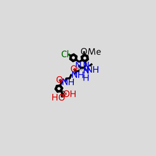 COc1ccc2c(c1)C(c1ccc(Cl)cc1)=N[C@@H](CC(=O)NCCCNC(=O)c1cccc(B(O)O)c1)C1NNC(C)N21